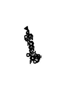 O=C(NCc1cc2nc(N3CCOc4c(OCC5CC5)ccnc43)ccc2cn1)c1cc(F)c2c(c1)S(=O)(=O)[C@@H](F)CCO2